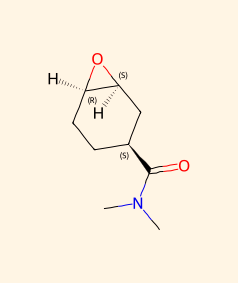 CN(C)C(=O)[C@H]1CC[C@H]2O[C@H]2C1